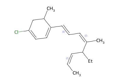 C/C=C\C(CC)/C(C)=C\C=C\C1=CC=C(Cl)CC1C